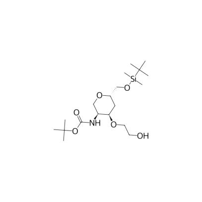 CC(C)(C)OC(=O)N[C@H]1CO[C@H](CO[Si](C)(C)C(C)(C)C)C[C@H]1OCCO